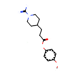 COc1ccc(OC(=O)CCC2CCN(C(=N)N)CC2)cc1.Cl